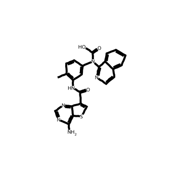 Cc1ccc(N(C(=O)O)c2nccc3ccccc23)cc1NC(=O)c1csc2c(N)ncnc12